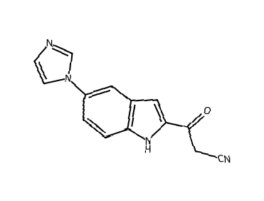 N#CCC(=O)c1cc2cc(-n3ccnc3)ccc2[nH]1